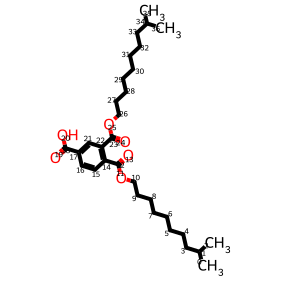 CC(C)CCCCCCCCOC(=O)c1ccc(C(=O)O)cc1C(=O)OCCCCCCCCC(C)C